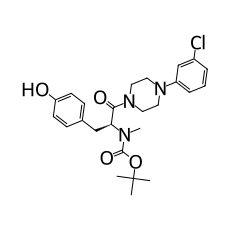 CN(C(=O)OC(C)(C)C)[C@@H](Cc1ccc(O)cc1)C(=O)N1CCN(c2cccc(Cl)c2)CC1